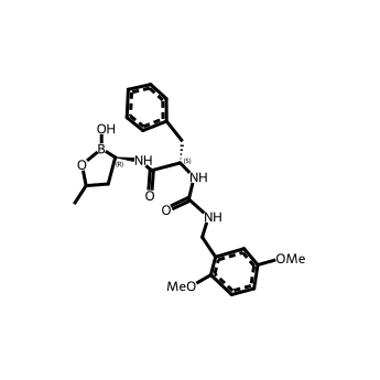 COc1ccc(OC)c(CNC(=O)N[C@@H](Cc2ccccc2)C(=O)N[C@H]2CC(C)OB2O)c1